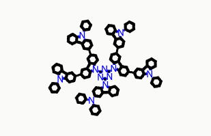 c1ccc(N(c2ccccc2)c2ccc3c(c2)c2ccccc2n3-c2nc(-n3c4ccc(-c5ccc6c(c5)c5ccccc5n6-c5ccccc5)cc4c4cc(-c5ccc6c(c5)c5ccccc5n6-c5ccccc5)ccc43)nc(-n3c4ccc(-c5ccc6c(c5)c5ccccc5n6-c5ccccc5)cc4c4cc(-c5ccc6c(c5)c5ccccc5n6-c5ccccc5)ccc43)n2)cc1